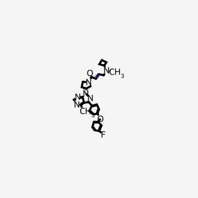 Cc1ncnc2c1c(-c1ccc(Oc3cccc(F)c3)cc1)nn2[C@@H]1CCN(C(=O)/C=C/CN(C)C2CCC2)C1